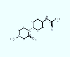 CN1CCN([C@H]2CC[C@H](NC(=O)O)CC2)C(=O)C1